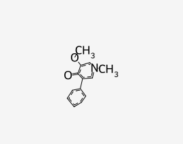 COc1cn(C)cc(-c2ccccc2)c1=O